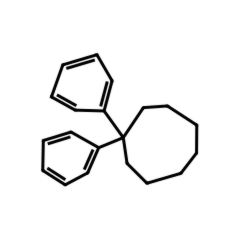 c1ccc(C2(c3ccccc3)CCCCCCC2)cc1